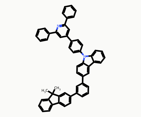 CC1(C)c2ccccc2-c2ccc(-c3cccc(-c4ccc5c(c4)c4ccccc4n5-c4ccc(-c5cc(-c6ccccc6)nc(-c6ccccc6)c5)cc4)c3)cc21